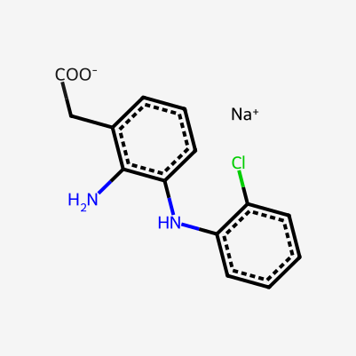 Nc1c(CC(=O)[O-])cccc1Nc1ccccc1Cl.[Na+]